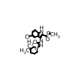 COC(=O)c1[nH]c2ccc(Cl)cc2c1NC(=O)CN1CCCC(C)(C)C1